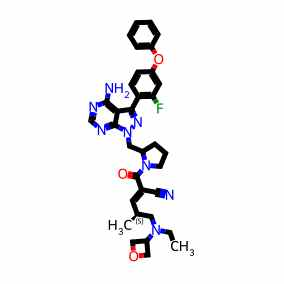 CCN(C[C@@H](C)C=C(C#N)C(=O)N1CCCC1Cn1nc(-c2ccc(Oc3ccccc3)cc2F)c2c(N)ncnc21)C1COC1